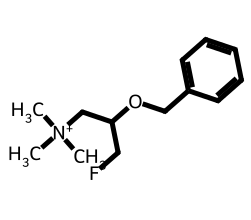 C[N+](C)(C)CC(CF)OCc1ccccc1